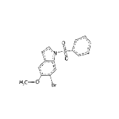 COc1cc2ccn(S(=O)(=O)c3ccccc3)c2cc1Br